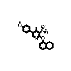 COc1ccc(-c2cnc(Oc3cccc4c3CCCC4)c([N+](=O)[O-])c2C)cc1